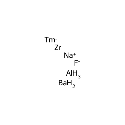 [AlH3].[BaH2].[F-].[Na+].[Tm].[Zr]